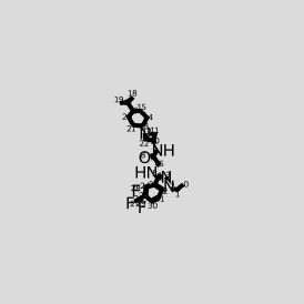 CCn1nc(NCC(=O)NC2CN(C3CCC(C(C)C)CC3)C2)c2cc(C(F)(F)F)ccc21